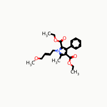 CCOC(=O)c1c(-c2ccccc2)c(C(=O)OCC)n(CC=CCOC)c1C